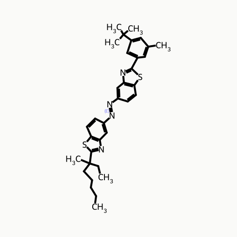 CCCCCC(C)(CC)c1nc2cc(/N=N/c3ccc4sc(-c5cc(C)cc(C(C)(C)C)c5)nc4c3)ccc2s1